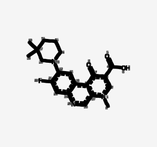 Cn1cc(C(=O)O)c(=O)c2c3cc(N4CCCC(C)(C)C4)c(F)cc3ncc21